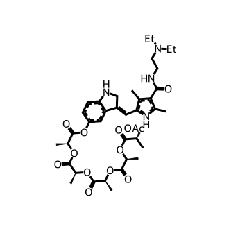 CCN(CC)CCNC(=O)c1c(C)[nH]c(/C=C2\CNc3ccc(OC(=O)[C@H](C)OC(=O)[C@H](C)OC(=O)[C@H](C)OC(=O)[C@H](C)OC(=O)[C@H](C)OC(C)=O)cc32)c1C